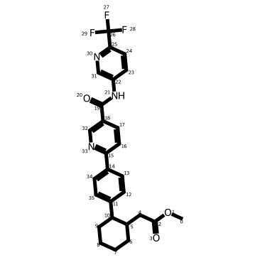 COC(=O)CC1CCCCC1c1ccc(-c2ccc(C(=O)Nc3ccc(C(F)(F)F)nc3)cn2)cc1